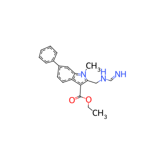 CCOC(=O)c1c(CNC=N)n(C)c2cc(-c3ccccc3)ccc12